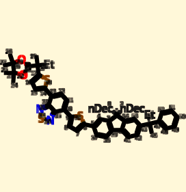 CCCCCCCCCCC1(CCCCCCCCCC)c2cc(-c3ccc(-c4ccc(-c5ccc(C(C)(CC)B6OC(C)(C)C(C)(C)O6)s5)c5nsnc45)s3)ccc2-c2ccc([C@@](C)(CC)c3ccccc3)cc21